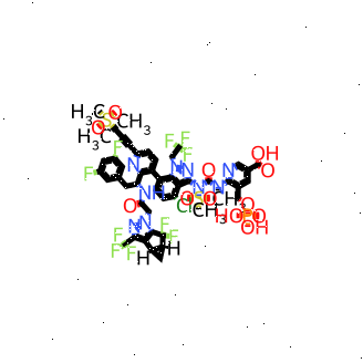 CN(C(=O)N(c1nn(CC(F)(F)F)c2c(-c3ccc(C#CC(C)(C)S(C)(=O)=O)nc3C(Cc3cc(F)cc(F)c3)NC(=O)Cn3nc(C(F)(F)F)c4c3C(F)(F)[C@@H]3C[C@H]43)ccc(Cl)c12)S(C)(=O)=O)c1ncc(C(=O)O)cc1COP(=O)(O)O